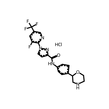 Cl.O=C(Nc1ccc(C2CNCCO2)cc1)c1ccn(-c2ncc(C(F)(F)F)cc2F)n1